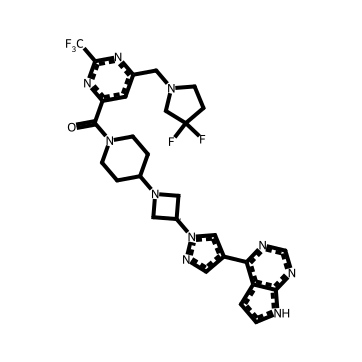 O=C(c1cc(CN2CCC(F)(F)C2)nc(C(F)(F)F)n1)N1CCC(N2C[C](n3cc(-c4ncnc5[nH]ccc45)cn3)C2)CC1